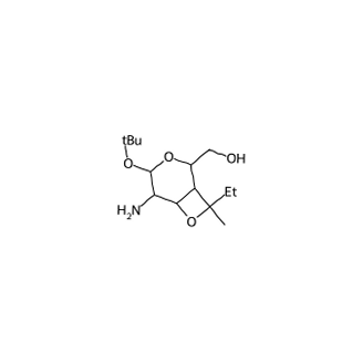 CCC1(C)OC2C(N)C(OC(C)(C)C)OC(CO)C21